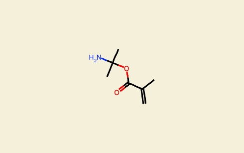 C=C(C)C(=O)OC(C)(C)N